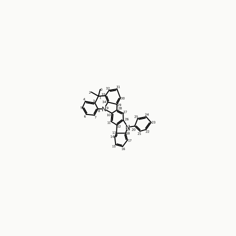 CC1(C)c2ccccc2-n2c3cc4c5ccccc5n(-c5ccccc5)c4cc3c3cccc1c32